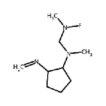 C=NC1CCCC1N(C)CN(C)F